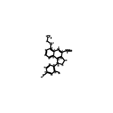 CNc1nc2c(OCC(F)(F)F)cccc2c2c1CCN2c1ccc(F)cc1C